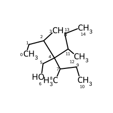 CCC(C)C(CO)(C(C)CC)C(C)CC